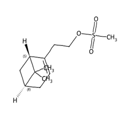 CC1(C)[C@H]2CC=C(CCOS(C)(=O)=O)[C@H]1C2